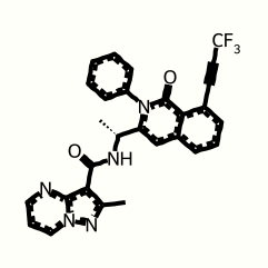 Cc1nn2cccnc2c1C(=O)N[C@H](C)c1cc2cccc(C#CC(F)(F)F)c2c(=O)n1-c1ccccc1